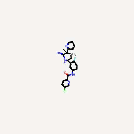 C[C@@]1(c2cc(NC(=O)c3ccc(Cl)cn3)ccc2F)C[SiH2][C@@](C)(c2ccccn2)C(=N)N1